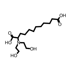 O=C(O)CCCCCCCCCC(C(=O)O)N(CCO)CCO